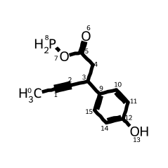 CC#CC(CC(=O)OP)c1ccc(O)cc1